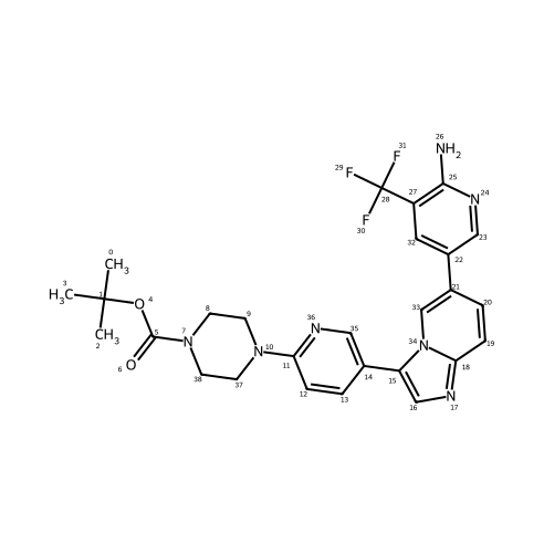 CC(C)(C)OC(=O)N1CCN(c2ccc(-c3cnc4ccc(-c5cnc(N)c(C(F)(F)F)c5)cn34)cn2)CC1